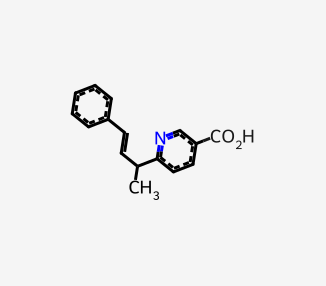 CC(C=Cc1ccccc1)c1ccc(C(=O)O)cn1